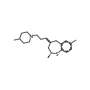 Cc1ccc2c(c1)C/C(=C/CCN1CCC(C)CC1)C[C@H](C)S2